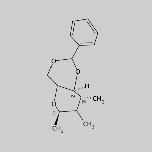 CC1[C@@H](C)[C@@H]2OC(c3ccccc3)OCC2O[C@@H]1C